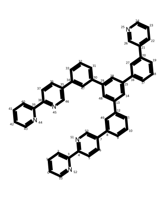 c1ccc(-c2ccc(-c3cccc(-c4cc(-c5cccc(-c6cccnc6)c5)cc(-c5cccc(-c6ccc(-c7ccccn7)nc6)c5)c4)c3)cn2)nc1